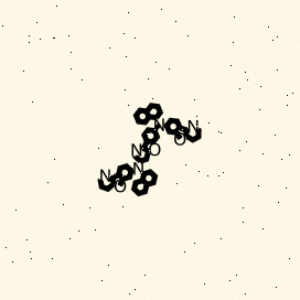 c1ccc2c(N(c3ccc4c(c3)oc3cccnc34)c3ccc4c(c3)oc3cc(N(c5ccc6c(c5)oc5cccnc56)c5cccc6ccccc56)cnc34)cccc2c1